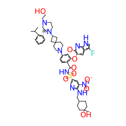 COc1nc2[nH]cc(F)c2cc1Oc1cc(N2CCC3(CC2)CC(N2CCN(CCO)C[C@H]2c2ccccc2C(C)C)C3)ccc1C(=O)NS(=O)(=O)c1cnc(NCC2CCC(C)(O)CC2)c([N+](=O)[O-])c1